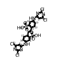 O=S(=O)(O)c1cc(Nc2cc(Cl)nc(Cl)n2)ccc1C=Cc1ccc(Nc2cc(Cl)nc(Cl)n2)cc1S(=O)(=O)O